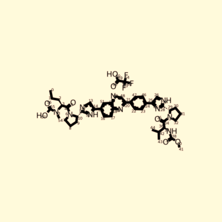 CCC[C@@H](C(=O)N1CCC[C@H]1c1ncc(-c2ccc3nc(-c4ccc(-c5c[nH]c([C@@H]6CCCN6C(=O)[C@@H](NC(=O)OC)C(C)C)n5)cc4)cnc3c2)[nH]1)N(C)C(=O)O.O=C(O)C(F)(F)F